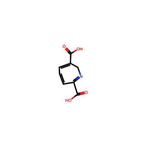 O=C(O)C1=CC=CC(C(=O)O)=NC1